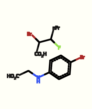 CCCC(F)C(Br)C(=O)O.O=C(O)CNc1ccc(Br)cc1